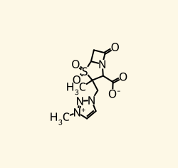 C[n+]1ccn(CC2(C)C(C(=O)[O-])N3C(=O)CC3S2(=O)=O)n1